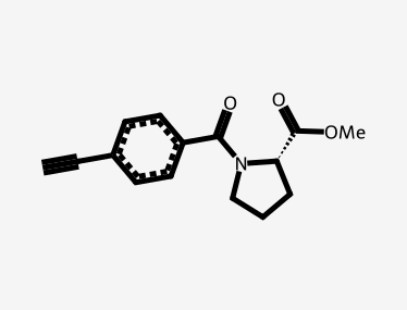 C#Cc1ccc(C(=O)N2CCC[C@H]2C(=O)OC)cc1